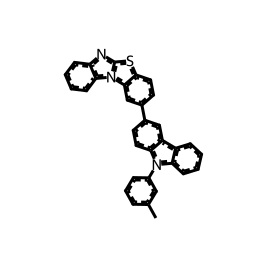 Cc1cccc(-n2c3ccccc3c3cc(-c4ccc5sc6nc7ccccc7n6c5c4)ccc32)c1